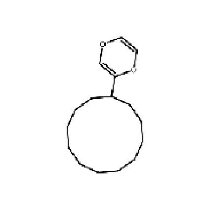 C1=COC(C2CCCCCCCCCCC2)=CO1